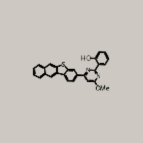 COc1cc(-c2ccc3c(c2)sc2cc4ccccc4cc23)nc(-c2ccccc2O)n1